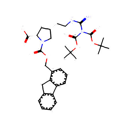 CC(C)(C)OC(=O)N(C(=N)NCC[C@H]1C[C@@H](C(=O)O)N(C(=O)OCc2cccc3c2Cc2ccccc2-3)C1)C(=O)OC(C)(C)C